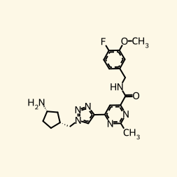 COc1cc(CNC(=O)c2cc(-c3cn(C[C@@H]4CC[C@H](N)C4)nn3)nc(C)n2)ccc1F